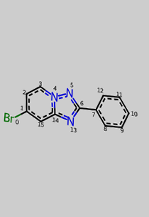 Brc1ccn2nc(-c3ccccc3)nc2c1